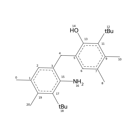 Cc1cc(Cc2cc(C)c(C)c(C(C)(C)C)c2O)c(N)c(C(C)(C)C)c1C